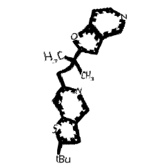 CC(C)(C)c1cc2cnc(CC(C)(C)c3cc4cnccc4o3)cc2s1